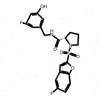 O=C(NCc1cc(O)cc(F)c1)[C@@H]1CCCN1S(=O)(=O)c1cc2cc(F)ccc2o1